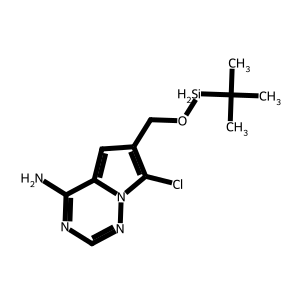 CC(C)(C)[SiH2]OCc1cc2c(N)ncnn2c1Cl